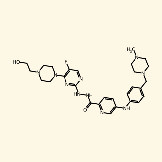 CN1CCN(Cc2ccc(Nc3ccc(C(=O)NNc4ncc(F)c(N5CCN(CCO)CC5)n4)nc3)cc2)CC1